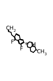 C=CCCc1ccc2cc([C@@H]3CC[C@@H]4CC(C)CCC4C3)c(F)cc2c1F